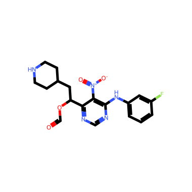 O=COC(CC1CCNCC1)c1ncnc(Nc2cccc(F)c2)c1[N+](=O)[O-]